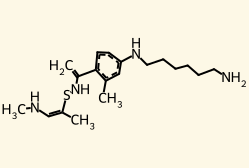 C=C(NS/C(C)=C\NC)c1ccc(NCCCCCCN)cc1C